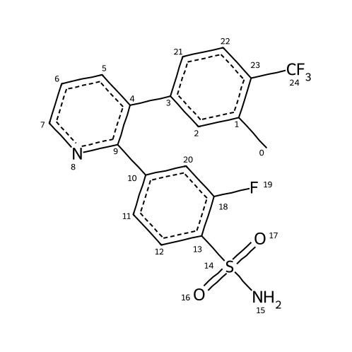 Cc1cc(-c2cccnc2-c2ccc(S(N)(=O)=O)c(F)c2)ccc1C(F)(F)F